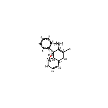 CC1=C2Nc3ccccc3C23CCN2CC=CC(C1)C23